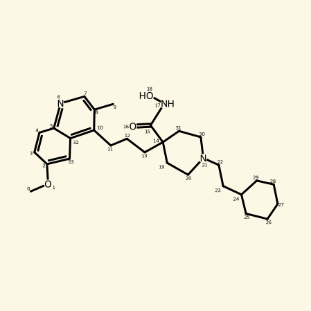 COc1ccc2ncc(C)c(CCCC3(C(=O)NO)CCN(CCC4CCCCC4)CC3)c2c1